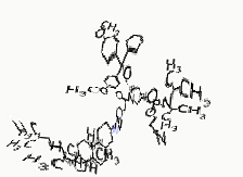 COc1ccc(C(OC[C@@H]2C[C@@H](OP(OCCC#N)N(C(C)C)C(C)C)CN2C(=O)CO/N=C2\CC[C@@]3(C)C(=CC[C@H]4[C@@H]5CC[C@H]([C@H](C)CCCC(C)C)[C@@]5(C)CC[C@@H]43)C2)(c2ccccc2)c2ccc(OC)cc2)cc1